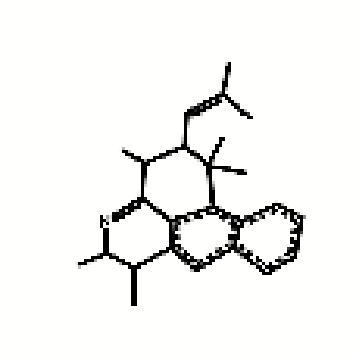 CC(C)=CC1C(C)C2=NC(C)C(C)c3cc4ccccc4c(c32)C1(C)C